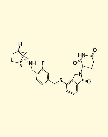 CC1(C)[C@@H]2CC[C@@]1(C)[C@@H](NCc1ccc(CSc3cccc4c3CN(C3CCC(=O)NC3=O)C4=O)cc1F)C2